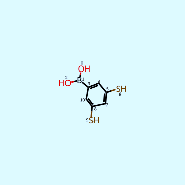 OB(O)c1cc(S)cc(S)c1